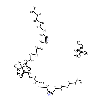 CCCCCCCC/C=C\CCCCCCCC(=O)C(C)(NC)C(=O)CCCCCCC/C=C\CCCCCCCC.COS(=O)(=O)O